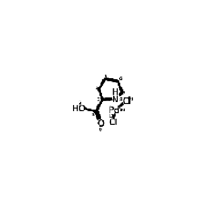 O=C(O)C1CCCCN1.[Cl][Pd][Cl]